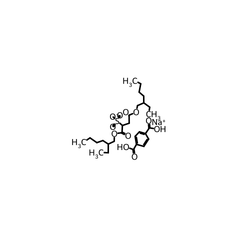 CCCCC(CC)COC(=O)CC(C(=O)OCC(CC)CCCC)S(=O)(=O)[O-].O=C(O)c1ccc(C(=O)O)cc1.[Na+]